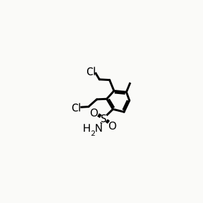 Cc1ccc(S(N)(=O)=O)c(CCCl)c1CCCl